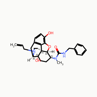 C=CCN1CC[C@]23c4c5ccc(O)c4O[C@H]2[C@@H](N(C)C(=O)NCc2ccccc2)CC[C@@]3(O)[C@H]1C5